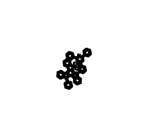 CC1(C)c2ccccc2-c2c1c1c(c3ccccc3n1-c1cccc(-c3cc(-c4ccccc4)nc(-c4ccccc4)n3)c1)c1c2c2ccccc2n1-c1ccccc1